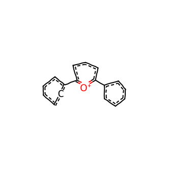 c1ccc(-c2cccc(-c3ccccc3)[o+]2)cc1